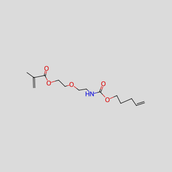 C=CCCCOC(=O)NCCOCCOC(=O)C(=C)C